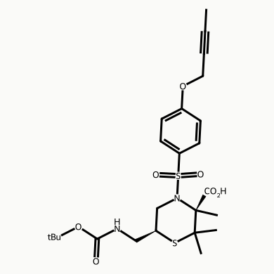 CC#CCOc1ccc(S(=O)(=O)N2C[C@H](CNC(=O)OC(C)(C)C)SC(C)(C)[C@]2(C)C(=O)O)cc1